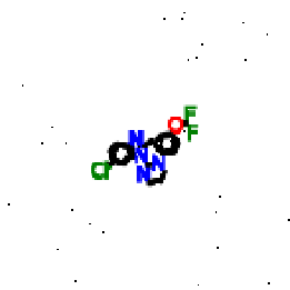 Cc1nc2ccc(Cl)cc2n1C1=NC=CCN1c1ccc(OC(F)F)cc1